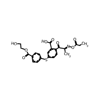 CCC(=O)O/N=C(\C)C(=O)c1ccc(Sc2ccc(C(=O)OCCO)cc2)cc1C(=O)O